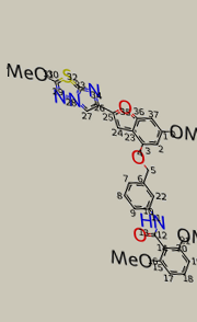 COc1cc(OCc2cccc(NC(=O)c3c(OC)cccc3OC)c2)c2cc(-c3cn4nc(OC)sc4n3)oc2c1